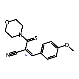 COc1ccc(/C=C(/C#N)C(=S)N2CCOCC2)cc1